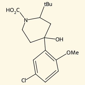 COc1ccc(Cl)cc1C1(O)CCN(C(=O)O)C(C(C)(C)C)C1